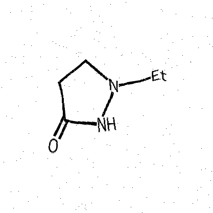 [CH2]CN1CCC(=O)N1